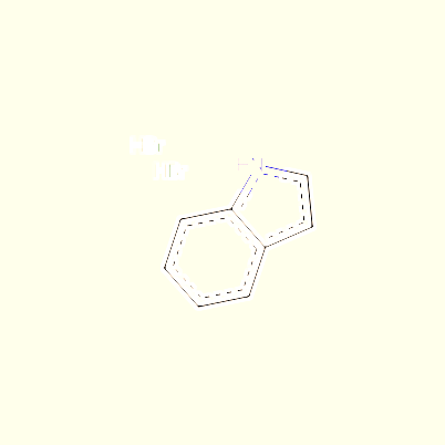 Br.Br.c1ccc2[nH]ccc2c1